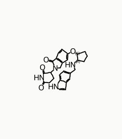 O=C1CCC(N2Cc3cc(O[C@H]4CCC[C@H]4NCc4ccc5[nH]ccc5c4)ccc3C2=O)C(=O)N1